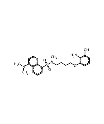 CN(C)c1cccc2c(S(=O)(=O)N(C)CCCCOc3cccc(O)c3N)cccc12